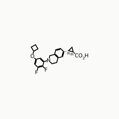 O=C(O)[C@@H]1C[C@H]1c1ccc2c(c1)CCN(c1cc(OC3CCC3)cc(F)c1F)C2